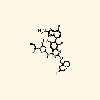 C=CC(=O)N1CC(N(C)c2nc(OCC34CCCN3CC(F)C4)nc3c(F)c(-c4ccc(F)c5sc(N)nc45)c(C(F)(F)F)cc23)CC1C